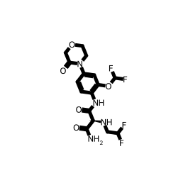 NC(=O)[C@H](NCC(F)F)C(=O)Nc1ccc(N2CCOCC2=O)cc1OC(F)F